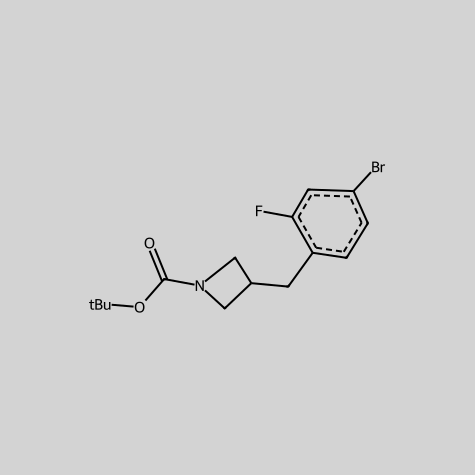 CC(C)(C)OC(=O)N1CC(Cc2ccc(Br)cc2F)C1